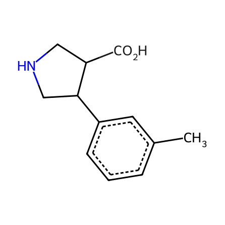 Cc1cccc(C2CNCC2C(=O)O)c1